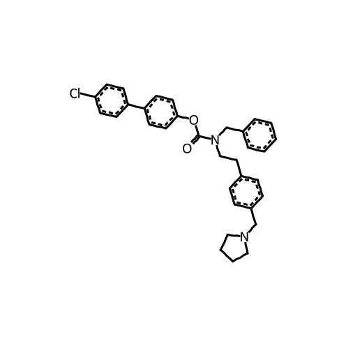 O=C(Oc1ccc(-c2ccc(Cl)cc2)cc1)N(CCc1ccc(CN2CCCC2)cc1)Cc1ccccc1